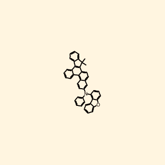 CC1(C)c2ccccc2-c2c1c1ccc3cc(N(c4ccccc4)c4cccc5oc6ccccc6c45)ccc3c1c1ccccc21